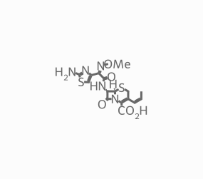 C/C=C\C1=C(C(=O)O)N2C(=O)[C@@H](NC(=O)/C(=N\OC)c3csc(N)n3)[C@H]2SC1